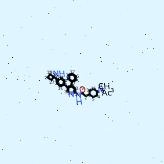 CC(=O)N(C)C1CCC(CC(=O)Nc2cc(-c3ccccc3)c(-c3ccc(C4(N)CCC4)cc3)cn2)CC1